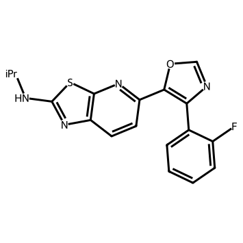 CC(C)Nc1nc2ccc(-c3ocnc3-c3ccccc3F)nc2s1